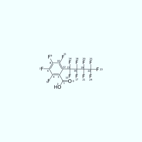 O=C(O)c1c(F)c(F)c(F)c(F)c1C(F)(F)C(F)(F)C(F)(F)C(F)(F)F